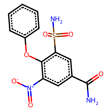 NC(=O)c1cc([N+](=O)[O-])c(Oc2ccccc2)c(S(N)(=O)=O)c1